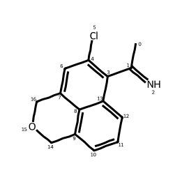 CC(=N)c1c(Cl)cc2c3c(cccc13)COC2